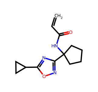 C=CC(=O)NC1(c2noc(C3CC3)n2)CCCC1